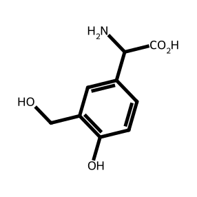 NC(C(=O)O)c1ccc(O)c(CO)c1